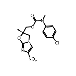 CN(C(=O)OC[C@]1(C)Cn2cc([N+](=O)[O-])nc2O1)c1ccc(Cl)cc1